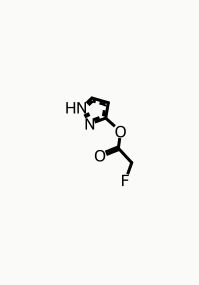 O=C(CF)Oc1cc[nH]n1